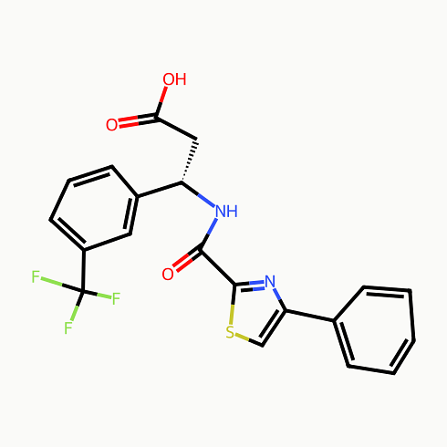 O=C(O)C[C@H](NC(=O)c1nc(-c2ccccc2)cs1)c1cccc(C(F)(F)F)c1